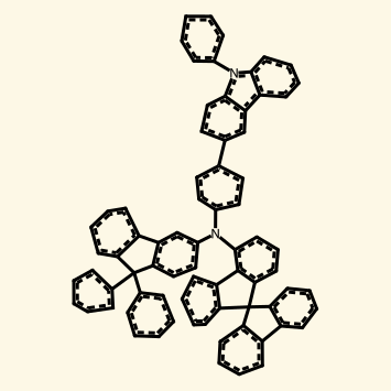 c1ccc(-n2c3ccccc3c3cc(-c4ccc(N(c5ccc6c(c5)-c5ccccc5C6(c5ccccc5)c5ccccc5)c5cccc6c5-c5ccccc5C65c6ccccc6-c6ccccc65)cc4)ccc32)cc1